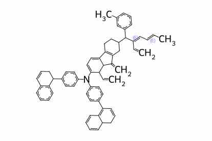 C=C/C(=C\C=C\C)C(c1cccc(C)c1)C1CCC2=C(C1)C(=C)C1C2=CC=C(N(c2ccc(C3=C4C=CC=CC4CC=C3)cc2)c2ccc(C3CC=Cc4ccccc43)cc2)C1C=C